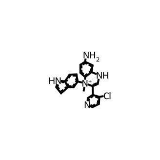 C[N+]1(c2ccc3[nH]ccc3c2)C(c2cnccc2Cl)=CNc2cc(N)ccc21